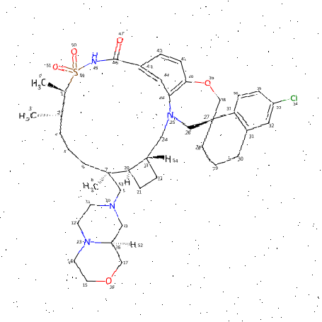 C[C@@H]1[C@@H](C)CCC[C@](C)(CN2CCN3CCOC[C@@H]3C2)[C@@H]2CC[C@H]2CN2C[C@@]3(CCCc4cc(Cl)ccc43)COc3ccc(cc32)C(=O)NS1(=O)=O